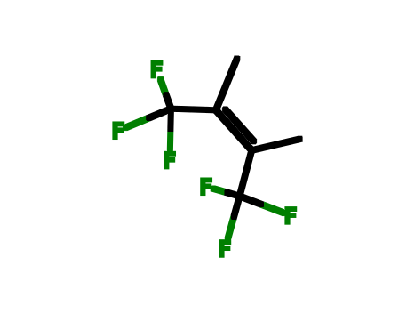 C/C(=C(\C)C(F)(F)F)C(F)(F)F